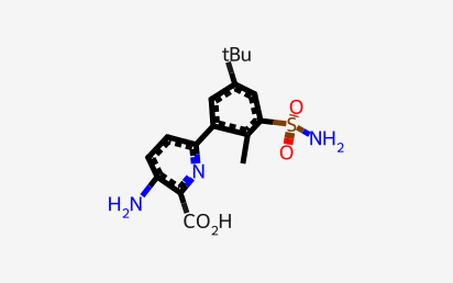 Cc1c(-c2ccc(N)c(C(=O)O)n2)cc(C(C)(C)C)cc1S(N)(=O)=O